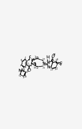 O=C(c1c(F)cccc1-n1cccn1)N1CCCN(c2nc3ccc(F)cc3c(=O)[nH]2)CC1